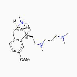 COc1ccc2c(c1)[C@@]1(CCN(C)CCCN(C)C)CCN(C)[C@H](C2)[C@@H]1C